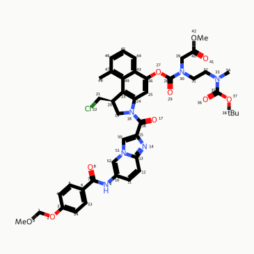 COCOc1ccc(C(=O)Nc2ccc3nc(C(=O)N4C[C@@H](CCl)c5c4cc(OC(=O)N(CCN(C)C(=O)OC(C)(C)C)CC(=O)OC)c4cccc(C)c54)cn3c2)cc1